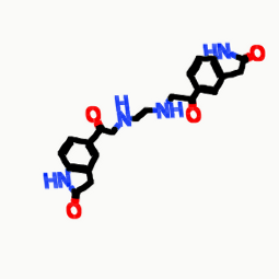 O=C1Cc2cc(C(=O)CNCCNCC(=O)c3ccc4c(c3)CC(=O)N4)ccc2N1